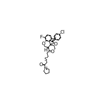 O=C(CSCC[C@@H]1OCC[C@@]2(S(=O)(=O)c3ccc(Cl)cc3)c3c(F)ccc(F)c3OC[C@@H]12)N1CCCC1